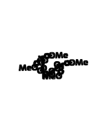 COc1ccc(CN(Cc2ccc(OC)cc2)C(=O)OCCOC(=O)c2cncc(C(=O)OCCOC(=O)N(Cc3ccc(OC)cc3)Cc3ccc(OC)cc3)c2)cc1